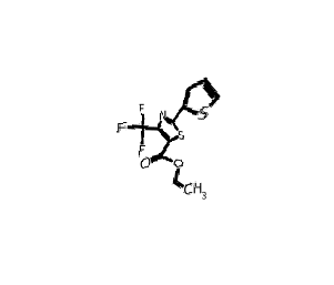 CCOC(=O)c1sc(-c2cccs2)nc1C(F)(F)F